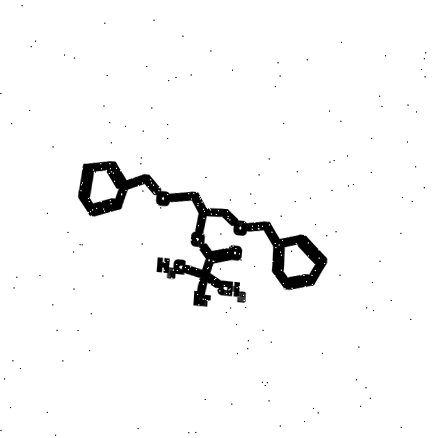 CC(C)(Br)C(=O)OC(COCc1ccccc1)COCc1ccccc1